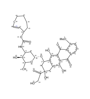 COc1cccc2c1C(=O)c1c(O)c3c(c(O)c1C2=O)CC(O)(C(=O)CO)CC3O[C@H]1CC(NC(=O)OC2/C=C/CCCCC2)[C@H](O)C(C)O1